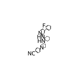 N#Cc1ccc(N2CCC[C@H](N[C@@H]3CCCC[C@H]3Nc3cc(-c4ccccc4F)ccn3)C2)cc1